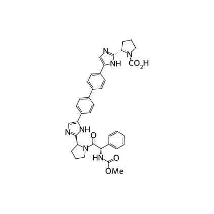 COC(=O)N[C@@H](C(=O)N1CCC[C@H]1c1ncc(-c2ccc(-c3ccc(-c4cnc([C@@H]5CCCN5C(=O)O)[nH]4)cc3)cc2)[nH]1)c1ccccc1